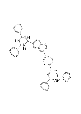 C1=C(c2ccc(-c3ccc4ccc(C5NC(c6ccccc6)NC(c6ccccc6)N5)cc4c3)cc2)C=C(c2ccccc2)NC1c1ccccc1